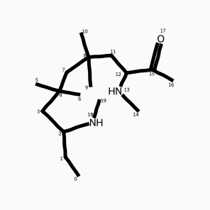 CCC(CC(C)(C)CC(C)(C)CC(NC)C(C)=O)NC